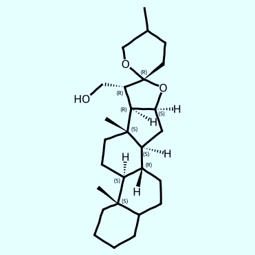 CC1CC[C@@]2(OC1)O[C@H]1C[C@H]3[C@@H]4CCC5CCCC[C@]5(C)[C@H]4CC[C@]3(C)[C@H]1[C@@H]2CO